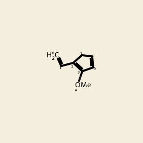 C=CC1=C(OC)C=CC1